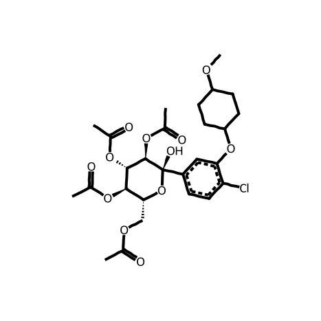 COC1CCC(Oc2cc([C@]3(O)O[C@H](COC(C)=O)[C@@H](OC(C)=O)[C@H](OC(C)=O)[C@H]3OC(C)=O)ccc2Cl)CC1